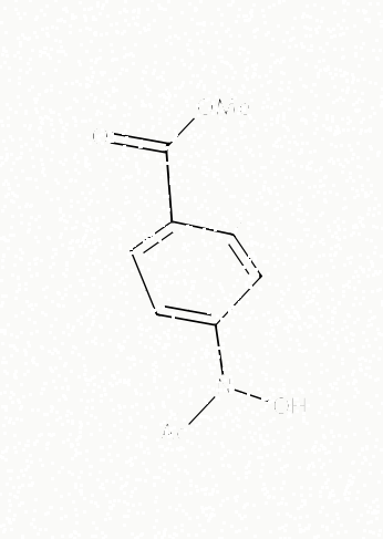 COC(=O)c1ccc(N(O)C(C)=O)cc1